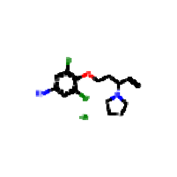 Br.C=CC(CCOc1c(Br)cc(N)cc1Br)N1CCCC1